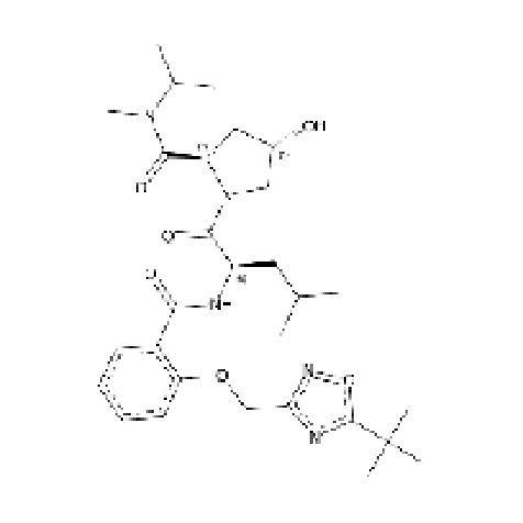 CC(C)C[C@@H](NC(=O)c1ccccc1OCc1noc(C(C)(C)C)n1)C(=O)N1C[C@@H](O)C[C@@H]1C(=O)N(C)C(C)C